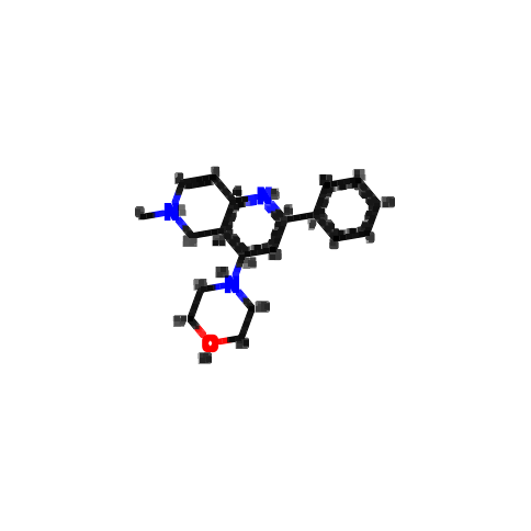 CN1C=Cc2nc(-c3ccccc3)cc(N3CCOCC3)c2C1